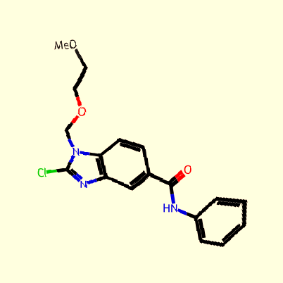 COCCOCn1c(Cl)nc2cc(C(=O)Nc3ccccc3)ccc21